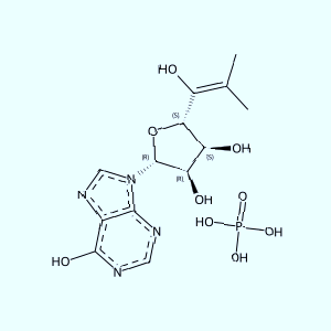 CC(C)=C(O)[C@H]1O[C@@H](n2cnc3c(O)ncnc32)[C@H](O)[C@@H]1O.O=P(O)(O)O